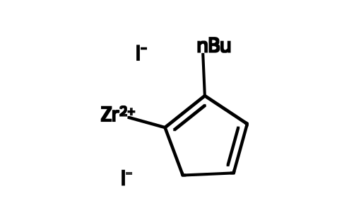 CCCCC1=[C]([Zr+2])CC=C1.[I-].[I-]